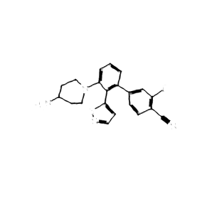 N#Cc1ccc(-c2cccc(N3CCC(N)CC3)c2-c2ccns2)cc1F